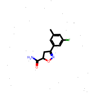 Cc1cc(F)cc(C2=NOC(C(N)=O)C2)c1